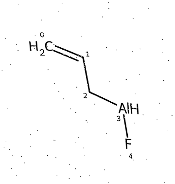 C=C[CH2][AlH][F]